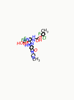 Cc1ccc(Cl)c(OC[C@H](O)CNc2cc[nH]c(=O)c2-c2nc3cc4c(cc3[nH]2)CN(C2CCN(C)CC2)C4=O)c1F.O=C(O)C(F)(F)F